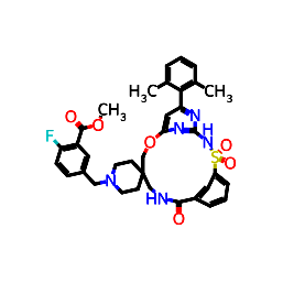 COC(=O)c1cc(CN2CCC3(CC2)CNC(=O)c2cccc(c2)S(=O)(=O)Nc2nc(cc(-c4c(C)cccc4C)n2)OC3)ccc1F